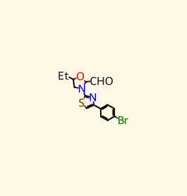 CCC1CN(c2nc(-c3ccc(Br)cc3)cs2)C(C=O)O1